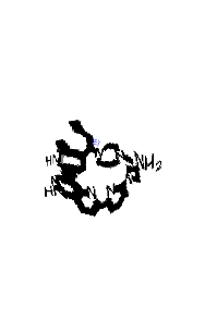 C=C/C=C(\c1cc(-c2n[nH]c3ccc(-c4cccc(N5CC(N)C5)n4)nc23)[nH]c1C)N1CCN(C)CC1